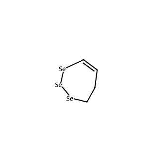 C1=C[Se][Se][Se]CC1